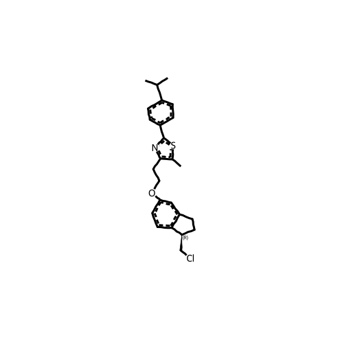 Cc1sc(-c2ccc(C(C)C)cc2)nc1CCOc1ccc2c(c1)CC[C@H]2CCl